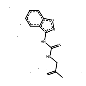 C=C(C)CNC(=S)Nc1noc2ccccc12